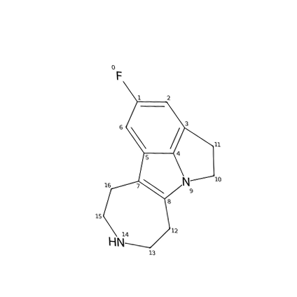 Fc1cc2c3c(c1)c1c(n3CC2)CCNCC1